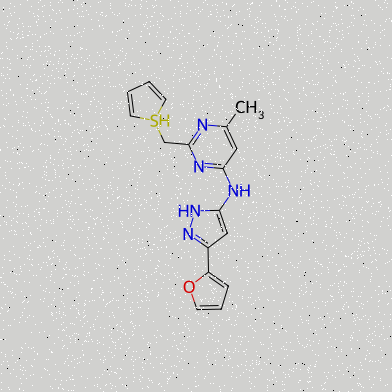 Cc1cc(Nc2cc(-c3ccco3)n[nH]2)nc(C[SH]2C=CC=C2)n1